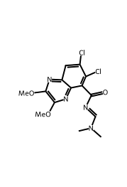 COc1nc2cc(Cl)c(Cl)c(C(=O)N=CN(C)C)c2nc1OC